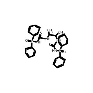 CC(NC(=S)NP(=O)(c1ccccc1)c1ccccc1)C(C)NC(=S)NP(=O)(c1ccccc1)c1ccccc1